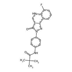 CC(C)(C)C(=O)Nc1ccc(-n2nc3c4cccc(F)c4[nH]cc-3c2=O)cc1